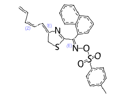 C=C/C=C\C=C1/CSC(C(=N/OS(=O)(=O)c2ccc(C)cc2)/c2cccc3ccccc23)=N1